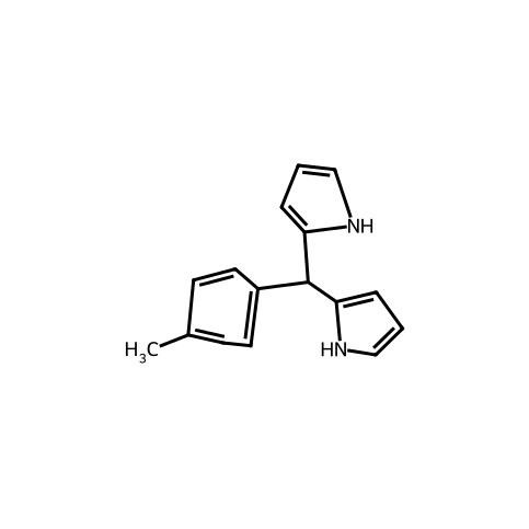 Cc1ccc(C(c2ccc[nH]2)c2ccc[nH]2)cc1